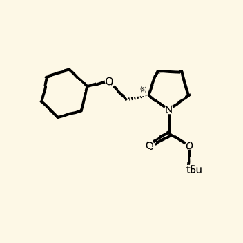 CC(C)(C)OC(=O)N1CCC[C@H]1COC1CCCCC1